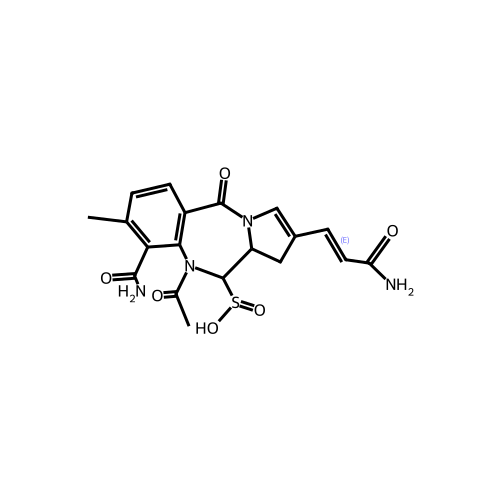 CC(=O)N1c2c(ccc(C)c2C(N)=O)C(=O)N2C=C(/C=C/C(N)=O)CC2C1S(=O)O